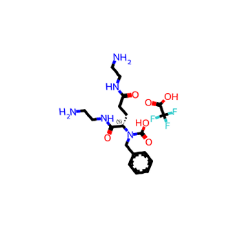 NCCNC(=O)CC[C@@H](C(=O)NCCN)N(Cc1ccccc1)C(=O)O.O=C(O)C(F)(F)F